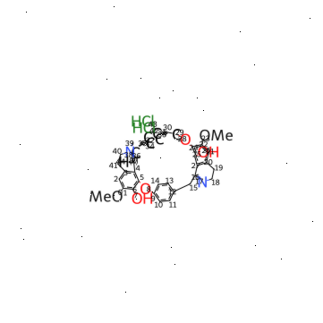 COc1cc2c3c(c1O)Oc1ccc(cc1)CC1=NCCc4cc(OC)c(c(O)c41)OCc1ccc(cc1)C[C@H]3N(C)CC2.Cl.Cl